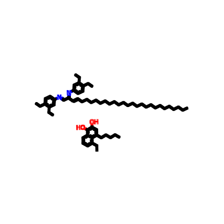 CCCCCCCCCCCCCCCCCCCCCCCCC=CC(C=Nc1ccc(CC)c(CC)c1)=Nc1ccc(CC)c(CC)c1.CCCCCc1cc(O)c(O)c2cccc(CC)c12